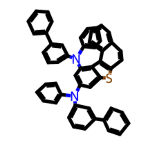 c1ccc(-c2cccc(N(c3ccccc3)c3cc(N(c4ccccc4)c4cccc(-c5ccccc5)c4)c4c(c3)sc3ccc5ccccc5c34)c2)cc1